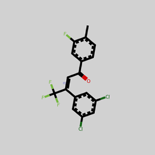 Cc1ccc(C(=O)/C=C(\c2cc(Cl)cc(Cl)c2)C(F)(F)F)cc1F